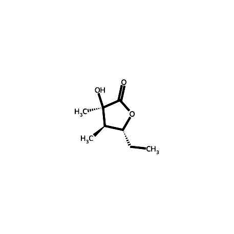 CC[C@H]1OC(=O)[C@](C)(O)[C@@H]1C